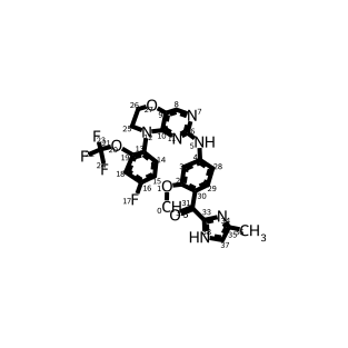 COc1cc(Nc2ncc3c(n2)N(c2ccc(F)cc2OC(F)(F)F)CCO3)ccc1C(=O)c1nc(C)c[nH]1